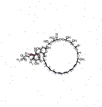 C[C@H]1C[C@H](O)[C@@H](C)/C=C/C=C/C=C/C=C/C=C/C=C/C=C/[C@H](O[C@@H]2OC[C@@H](O)[C@H](N)[C@@H]2O)C[C@@H]2O[C@](O)(C[C@@H](O)C[C@@H](O)[C@H](O)CC[C@@H](O)C[C@@H](O)CC(=O)O1)C[C@H](O)[C@H]2NC(=O)NCCNS(N)(=O)=O